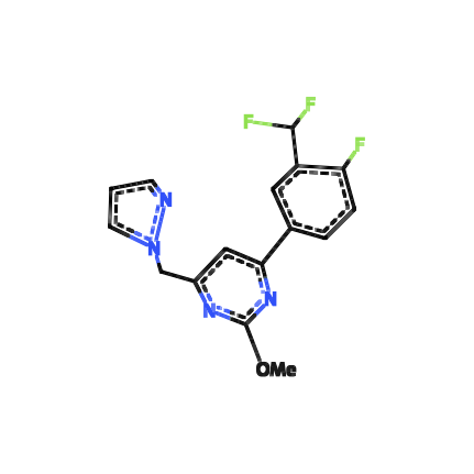 COc1nc(Cn2cccn2)cc(-c2ccc(F)c(C(F)F)c2)n1